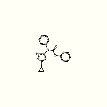 O=C(Oc1ccccc1)N(c1ccccc1)c1cc(C2CC2)n[nH]1